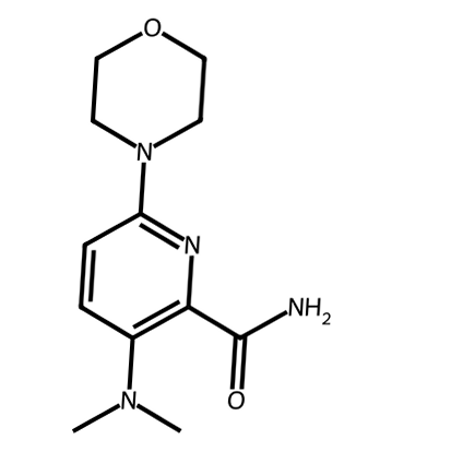 CN(C)c1ccc(N2CCOCC2)nc1C(N)=O